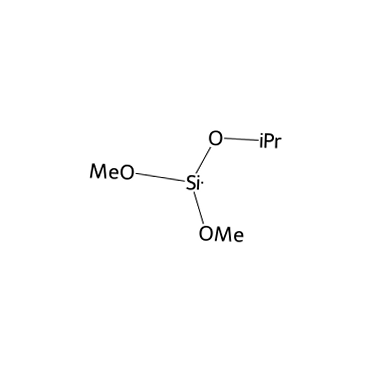 CO[Si](OC)OC(C)C